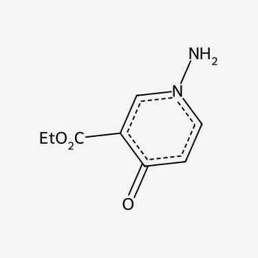 CCOC(=O)c1cn(N)ccc1=O